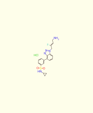 Cl.NC/C=C(\F)Cn1nnc2c(-c3cccc(S(=O)(=O)NC4CC4)c3)cccc21